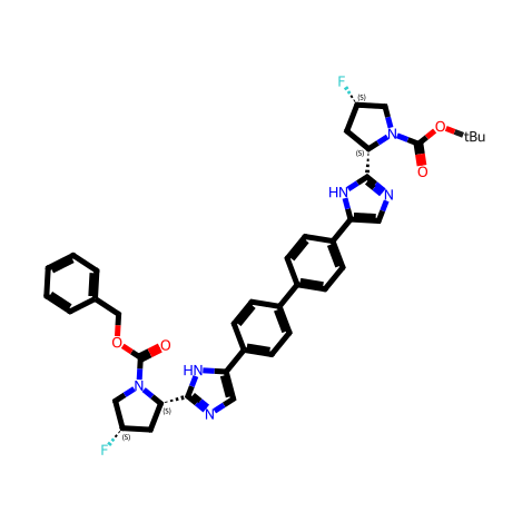 CC(C)(C)OC(=O)N1C[C@@H](F)C[C@H]1c1ncc(-c2ccc(-c3ccc(-c4cnc([C@@H]5C[C@H](F)CN5C(=O)OCc5ccccc5)[nH]4)cc3)cc2)[nH]1